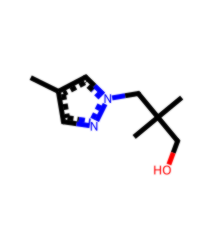 Cc1cnn(CC(C)(C)CO)c1